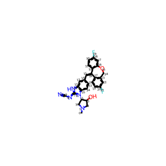 CN1CC(O)[C@@H](n2/c(=N/C#N)[nH]c3cc(/C=C4\c5ccc(F)cc5COc5cc(F)ccc54)ccc32)C1